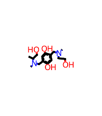 CC(CO)N(C)Cc1cc(O)c(CN(C)CCO)cc1O